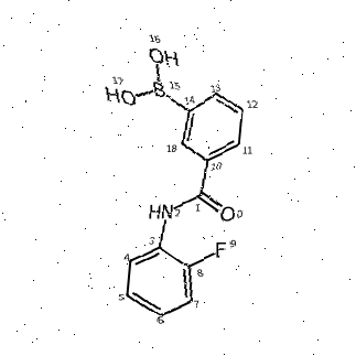 O=C(Nc1ccccc1F)c1cccc(B(O)O)c1